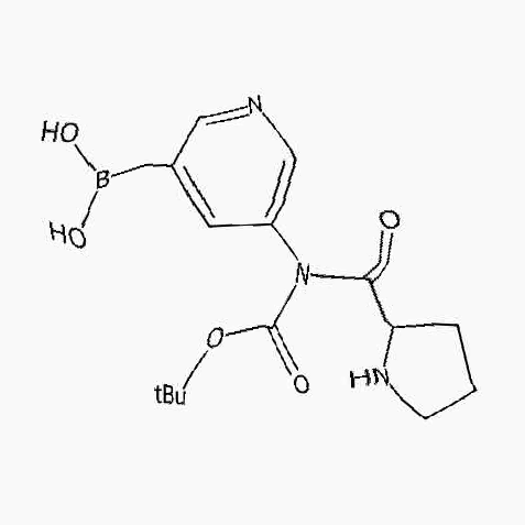 CC(C)(C)OC(=O)N(C(=O)C1CCCN1)c1cncc(B(O)O)c1